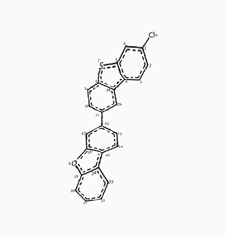 Clc1ccc2c(c1)sc1ccc(-c3ccc4c(c3)oc3ccccc34)cc12